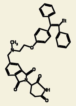 CCC(=C(c1ccccc1)c1ccc(OCCN(C)Cc2ccc3c(c2)C(=O)N(C2CCC(=O)NC2=O)C3=O)cc1)c1ccccc1